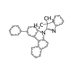 CC1(C)C(n2c3ccc(-c4ccccc4)cc3c3c4ccccc4ccc32)=Nc2ccccc21